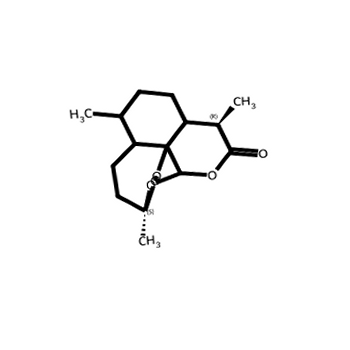 CC1CCC2[C@@H](C)C(=O)OC3O[C@]4(C)CCC1C32OO4